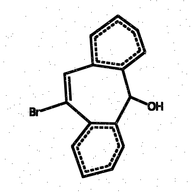 OC1c2ccccc2C=C(Br)c2ccccc21